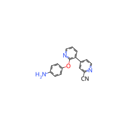 N#Cc1cc(-c2cccnc2Oc2ccc(N)cc2)ccn1